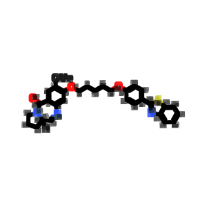 COc1cc2c(cc1OCCCCCOc1ccc(-c3nc4ccccc4s3)cc1)N=C[C@@H]1CCCN1C2=O